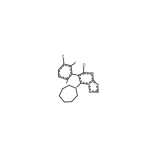 Fc1ccc(F)c(-c2c(Cl)nc3ncnn3c2N2CCCCCC2)c1F